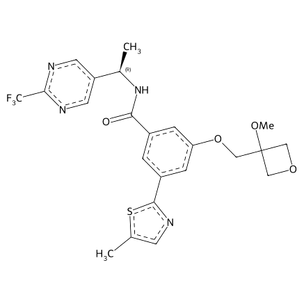 COC1(COc2cc(C(=O)N[C@H](C)c3cnc(C(F)(F)F)nc3)cc(-c3ncc(C)s3)c2)COC1